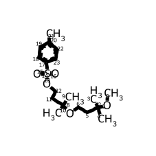 COC(C)(C)CCOC(C)(C)CCOS(=O)(=O)c1ccc(C)cc1